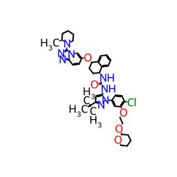 C[C@H]1CCCCN1c1nnc2ccc(O[C@@H]3CC[C@H](NC(=O)Nc4cc(C(C)(C)C)nn4-c4ccc(Cl)c(OCCOC5CCCCO5)c4)c4ccccc43)cn12